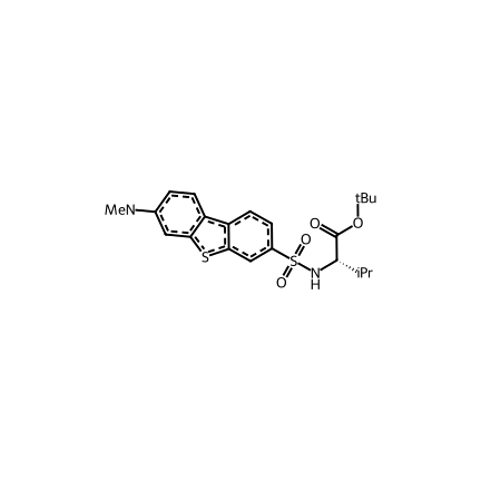 CNc1ccc2c(c1)sc1cc(S(=O)(=O)N[C@H](C(=O)OC(C)(C)C)C(C)C)ccc12